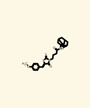 COc1ccc(C=C2SC(=S)N(CCCC(=O)NC34CC5CC(CC(C5)C3)C4)C2=O)cc1